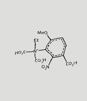 CC[N+](C(=O)O)(C(=O)O)c1c(OC)ccc(C(=O)O)c1[N+](=O)[O-]